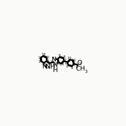 CC(=O)c1ccc(-c2ccc3nc(-c4[nH]nc5ccccc45)[nH]c3c2)cc1